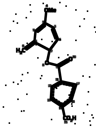 C=C1C=C(OC)C=CC1OC(=O)c1ccc(C(=O)O)cc1